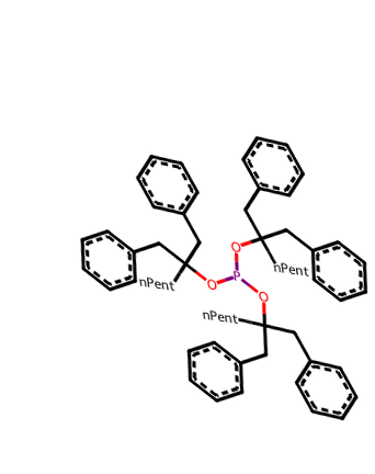 CCCCCC(Cc1ccccc1)(Cc1ccccc1)OP(OC(CCCCC)(Cc1ccccc1)Cc1ccccc1)OC(CCCCC)(Cc1ccccc1)Cc1ccccc1